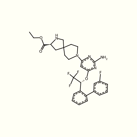 CCOC(=O)[C@@H]1CC2(CCN(c3cc(O[C@H](c4ccccc4-c4cccc(F)c4)C(F)(F)F)nc(N)n3)CC2)CN1